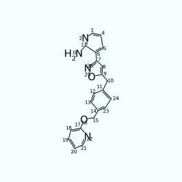 Nc1ncccc1-c1cc(Cc2ccc(COc3ccccn3)cc2)on1